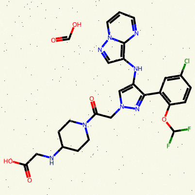 O=C(O)CNC1CCN(C(=O)Cn2cc(Nc3cnn4cccnc34)c(-c3cc(Cl)ccc3OC(F)F)n2)CC1.O=CO